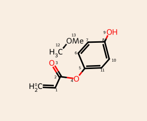 C=CC(=O)Oc1ccc(O)cc1.COC